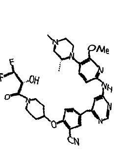 COc1nc(Nc2cc(-c3ccc(OC4CCN(C(=O)[C@@H](O)C(F)F)CC4)c(C#N)c3)ncn2)ccc1N1CCN(C)C[C@H]1C